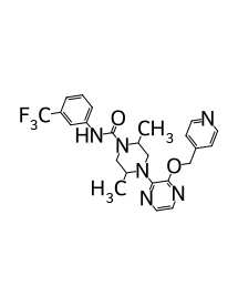 CC1CN(c2nccnc2OCc2ccncc2)C(C)CN1C(=O)Nc1cccc(C(F)(F)F)c1